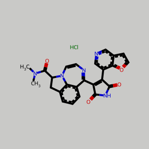 CN(C)C(=O)C1Cc2cccc3c2N1C=CN=C3C1=C(c2cncc3ccoc23)C(=O)NC1=O.Cl